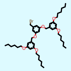 CCCCCCOc1cc(COc2cc(CBr)cc(OCc3cc(OCCCCCC)cc(OCCCCCC)c3)c2)cc(OCCCCCC)c1